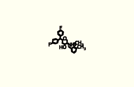 COc1c(C)cccc1CNC1COC(C(c2ccc(F)cc2)c2ccc(F)cc2)CC1O